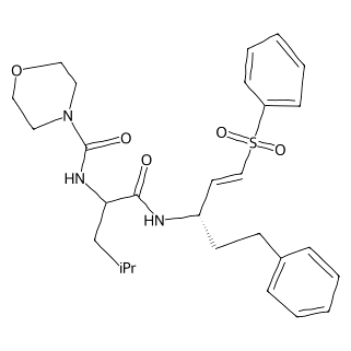 CC(C)CC(NC(=O)N1CCOCC1)C(=O)N[C@H](/C=C/S(=O)(=O)c1ccccc1)CCc1ccccc1